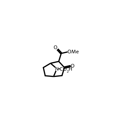 COC(=O)C1C(=O)CC2CCC1N2C(=O)O